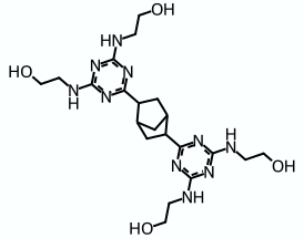 OCCNc1nc(NCCO)nc(C2CC3CC2CC3c2nc(NCCO)nc(NCCO)n2)n1